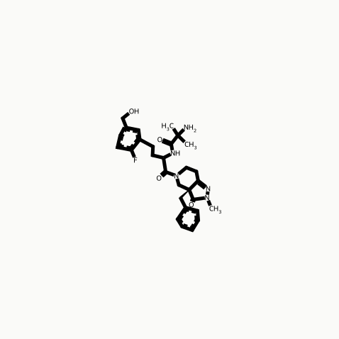 CN1N=C2CCN(C(=O)C(CCc3cc(CO)ccc3F)NC(=O)C(C)(C)N)C[C@@]2(Cc2ccccc2)C1=O